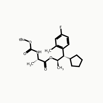 Cc1cc(F)ccc1[C@H](C1CCCC1)[C@@H](C)OC(=O)[C@H](C)NC(=O)OC(C)(C)C